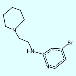 Brc1ccnc(NCCN2CCCCC2)c1